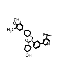 COc1ccc([C@H]2CC[C@H](CN(c3cccc(-c4cncc(C(F)(F)F)c4)c3)C(=O)[C@H]3CC[C@H](O)CC3)CC2)cc1C